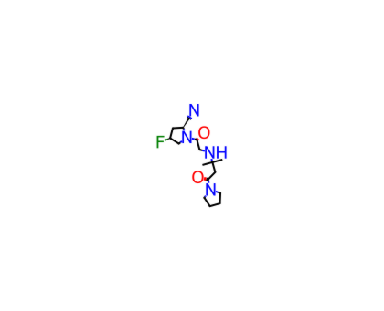 CC(C)(CC(=O)N1CCCC1)NCC(=O)N1C[C@@H](F)C[C@H]1C#N